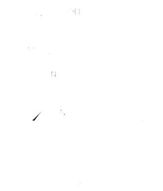 CC[C@H]1CN(C(=O)CC(=O)O)CC(c2ccc(Cl)cc2)N1c1ccc(Cl)cc1